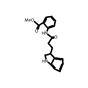 COC(=O)c1ccccc1NC(=O)CCC1CNc2ccccc21